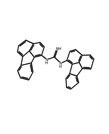 N=C(Nc1ccc2cccc3c2c1-c1ccccc1-3)Nc1ccc2cccc3c2c1-c1ccccc1-3